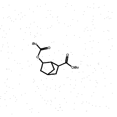 CCC(C)C(=O)OC1CC2CC(C(=O)OCC(C)C)C1C2